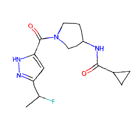 CC(F)c1cc(C(=O)N2CCC(NC(=O)C3CC3)C2)[nH]n1